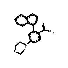 NC(=O)c1ccc(N2CCOCC2)cc1-c1cccc2ccccc12